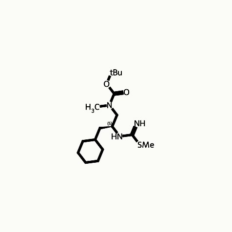 CSC(=N)N[C@@H](CC1CCCCC1)CN(C)C(=O)OC(C)(C)C